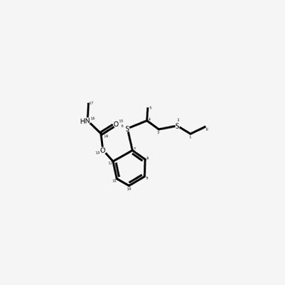 CCSCC(C)Sc1ccccc1OC(=O)NC